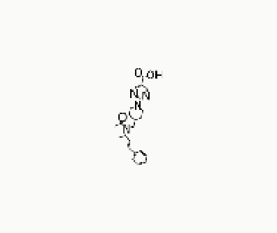 CC(=O)N(CC1CCN(c2ncc(C(=O)O)cn2)CC1)C(C)/C=C/c1ccccc1